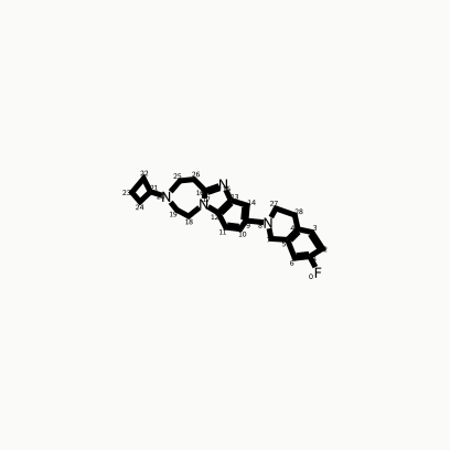 Fc1ccc2c(c1)CN(c1ccc3c(c1)nc1n3CCN(C3CCC3)CC1)CC2